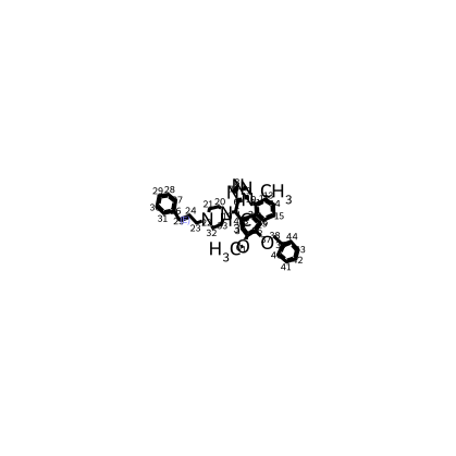 COc1cc(C(c2nnnn2-c2c(C)cccc2C)N2CCN(C/C=C/c3ccccc3)CC2)ccc1OCc1ccccc1